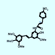 COc1cc(C=Cc2cc(OC)c(OC)c(OC)c2)cc(NC(=O)/C=C/c2ccc([N+](=O)[O-])cc2)c1O